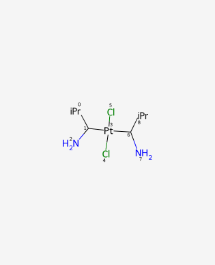 CC(C)[CH](N)[Pt]([Cl])([Cl])[CH](N)C(C)C